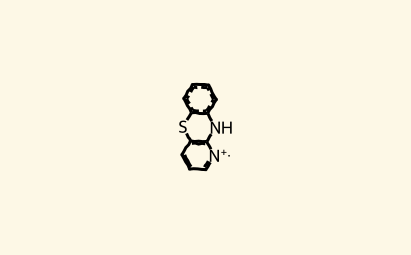 C1=CC2=C([N+]=C1)Nc1ccccc1S2